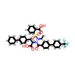 CCN(N(C(=O)c1ccc(-c2ccc(C(F)(F)F)cc2)cc1)C(Cc1ccc(-c2ccccc2)cc1)C(=O)O)S(=O)(=O)c1ccccc1C(=O)O